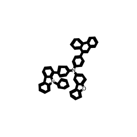 c1ccc(-n2c3ccccc3c3cccc(-c4ccc(N(c5ccc(-c6cc7ccccc7c7ccccc67)cc5)c5ccc6oc7ccccc7c6c5)cc4)c32)cc1